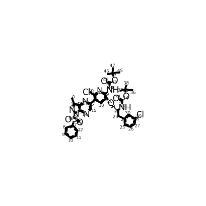 Cc1nn(S(=O)(=O)c2ccccc2)c2ncc(-c3cc(OC[C@@H](Cc4cccc(Cl)c4)NC(=O)OC(C)(C)C)c(NC(=O)OC(C)(C)C)nc3Cl)nc12